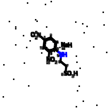 O=[N+]([O-])c1ccc(NCCS(=O)(=O)O)c([N+](=O)[O-])c1.[NaH]